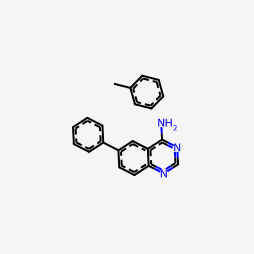 Cc1ccccc1.Nc1ncnc2ccc(-c3ccccc3)cc12